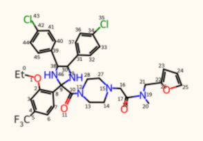 CCOc1cc(C(F)(F)F)ccc1C1(C(=O)N2CCN(CC(=O)N(C)Cc3ccco3)CC2)NC(c2ccc(Cl)cc2)C(c2ccc(Cl)cc2)N1